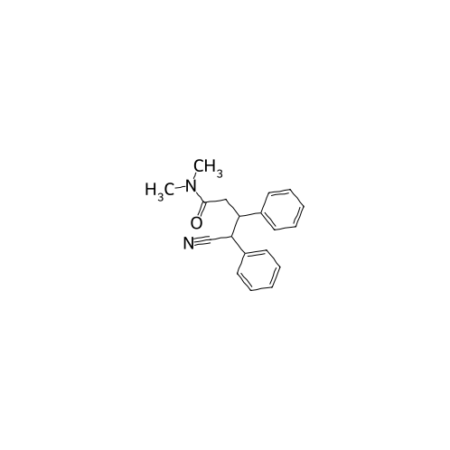 CN(C)C(=O)CC(c1ccccc1)C(C#N)c1ccccc1